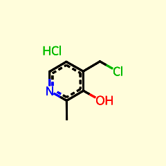 Cc1nccc(CCl)c1O.Cl